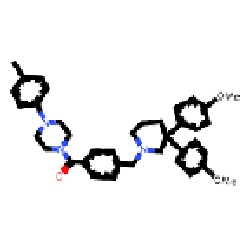 COc1ccc(C2(c3ccc(OC)cc3)CCCN(Cc3ccc(C(=O)N4CCN(c5ccc(C)cc5)CC4)cc3)C2)cc1